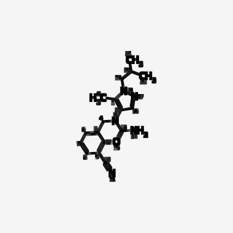 Cc1c(N(Cc2cccc(C#N)c2)C(N)=O)cnn1CC(C)C